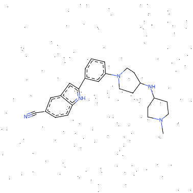 CN1CCC(NC2CCN(c3cccc(-c4cc5cc(C#N)ccc5[nH]4)c3)CC2)CC1